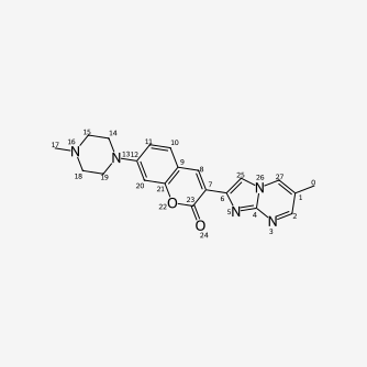 Cc1cnc2nc(-c3cc4ccc(N5CCN(C)CC5)cc4oc3=O)cn2c1